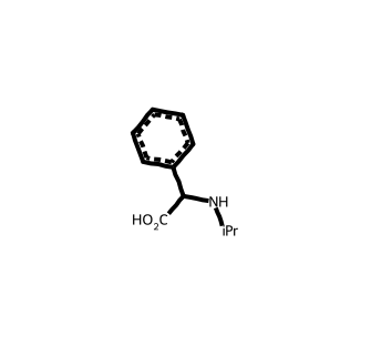 CC(C)NC(C(=O)O)c1ccccc1